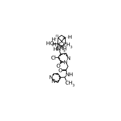 CC(NC(=O)Cn1ncc(N[C@@H]2C[C@@H]3C[C@@H](C3(C)C)[C@]2(C)O)c(Cl)c1=O)c1ccnnc1